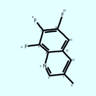 Cc1cnc2c(F)c(F)c(F)cc2c1